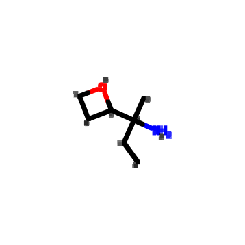 [CH2]C(N)(CC)C1CCO1